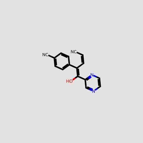 N#C/C=C\C(=C(\O)c1cnccn1)c1ccc(C#N)cc1